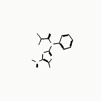 O=C(C(Cl)Cl)N(c1ccccc1)c1nc(Cl)c([N+](=O)[O-])s1